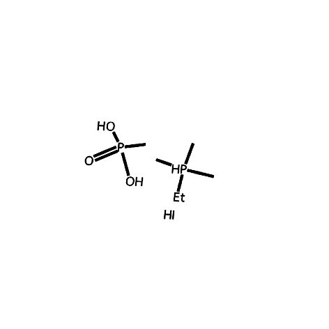 CC[PH](C)(C)C.CP(=O)(O)O.I